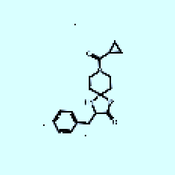 O=C1[N]C2(CCN(C(=O)C3CC3)CC2)NC1Cc1ccccc1